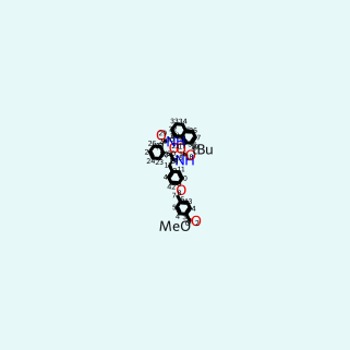 COC(=O)c1ccc(COc2ccc(C[C@H](NC(=O)OC(C)(C)C)C(=O)[C@@H]3CC=CC[C@@H]3C(=O)N[C@@H]3CCCc4ccccc43)cc2)cc1